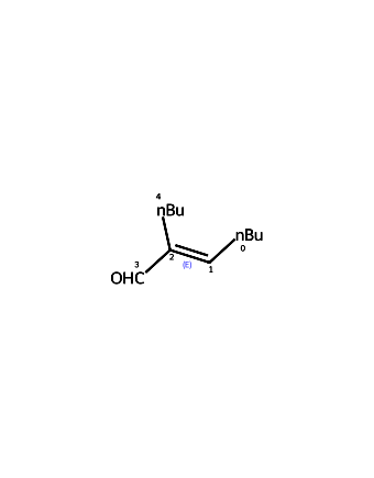 CCCC/C=C(/C=O)CCCC